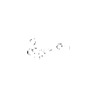 COc1ccc(CC(=O)N[C@@H](C)C(=O)N[C@H]2N=C(c3ccccn3)c3ccccc3N(C)C2=O)cc1